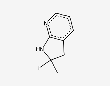 CC1(I)Cc2cccnc2N1